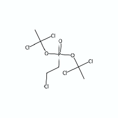 CC(Cl)(Cl)OP(=O)(CCCl)OC(C)(Cl)Cl